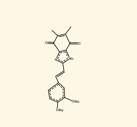 COc1ccc(C=Cc2nc3c([nH]2)C(=O)C(C)=C(C)C3=O)cc1OC